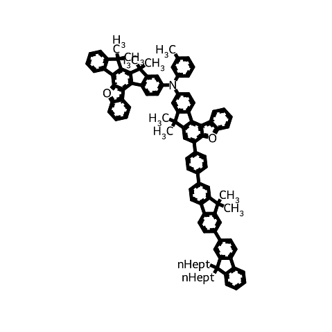 CCCCCCCC1(CCCCCCC)c2ccccc2-c2ccc(-c3ccc4c(c3)C(C)(C)c3cc(-c5ccc(-c6cc7c(c8c6oc6ccccc68)-c6ccc(N(c8cccc(C)c8)c8ccc9c(c8)C(C)(C)c8c%10c(c%11oc%12ccccc%12c%11c8-9)-c8ccccc8C%10(C)C)cc6C7(C)C)cc5)ccc3-4)cc21